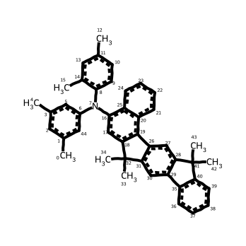 Cc1cc(C)cc(N(c2ccc(C)cc2C)c2cc3c(c4ccccc24)-c2cc4c(cc2C3(C)C)-c2ccccc2C4(C)C)c1